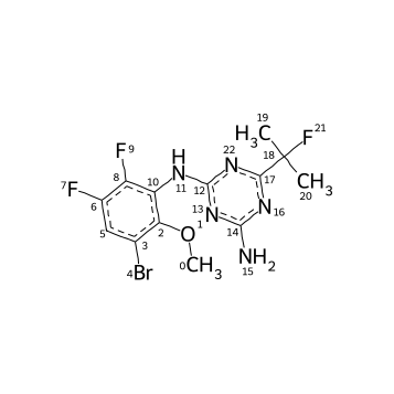 COc1c(Br)cc(F)c(F)c1Nc1nc(N)nc(C(C)(C)F)n1